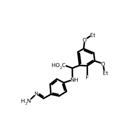 CCOc1cc(OCC)c(F)c(C(Nc2ccc(C=NN)cc2)C(=O)O)c1